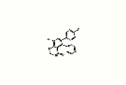 O=c1[nH]cnc2c(O)cc(-c3ccc(F)cc3)c(-c3ccncc3)c12